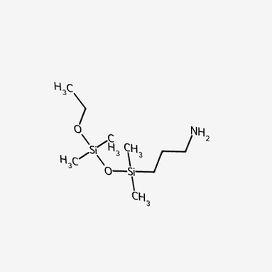 CCO[Si](C)(C)O[Si](C)(C)CCCN